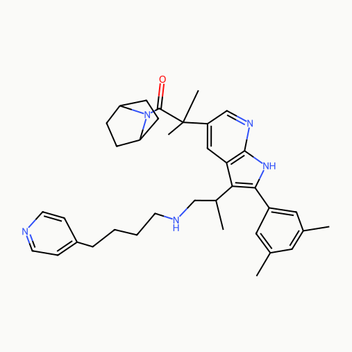 Cc1cc(C)cc(-c2[nH]c3ncc(C(C)(C)C(=O)N4C5CCC4CC5)cc3c2C(C)CNCCCCc2ccncc2)c1